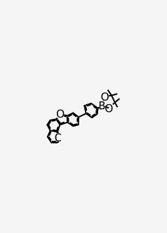 CC1(C)OB(c2ccc(-c3ccc4c(c3)oc3ccc5ccccc5c34)cc2)OC1(C)C